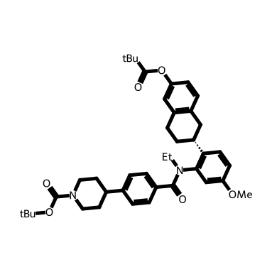 CCN(C(=O)c1ccc(C2CCN(C(=O)OC(C)(C)C)CC2)cc1)c1cc(OC)ccc1[C@@H]1CCc2cc(OC(=O)C(C)(C)C)ccc2C1